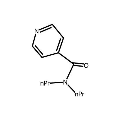 CCCN(CCC)C(=O)c1ccncc1